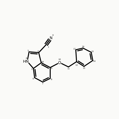 N#Cc1c[nH]c2cccc(OCc3ccccc3)c12